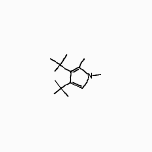 Cc1c(C(C)(C)C)c(C(C)(C)C)cn1C